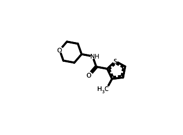 Cc1ccsc1C(=O)NC1CCOCC1